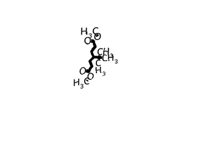 COC(=O)CCC(CCC(=O)OC)C(C)(C)C